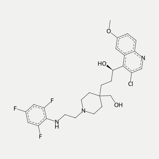 COc1ccc2ncc(Cl)c([C@H](O)CCC3(CO)CCN(CCNc4c(F)cc(F)cc4F)CC3)c2c1